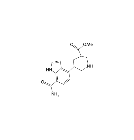 COC(=O)C1CNCC(c2ccc(C(N)=O)c3[nH]ccc23)C1